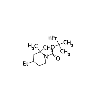 CCCC(C)(C)OC(=O)N1CCC(CC)CC1(C)C